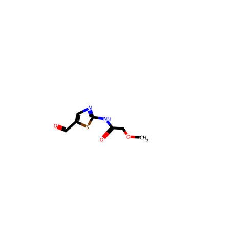 COCC(=O)Nc1ncc(C=O)s1